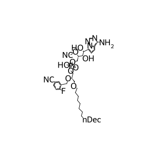 CCCCCCCCCCCCCCCCCCOC[C@H](COP(=O)(O)OC[C@@H](OC#N)[C@@H](O)[C@@H](O)c1ccc2c(N)ncnn12)OCc1cc(C#N)ccc1F